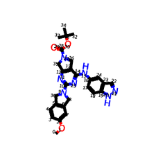 COc1ccc2c(c1)CN(c1nc3c(c(Nc4ccc5[nH]ncc5c4)n1)CN(C(=O)OC(C)(C)C)C3)C2